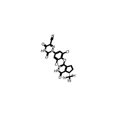 [2H]C([2H])([2H])[C@H]1CCc2c(Oc3c(Cl)cc(-n4nc(C#N)c(=O)[nH]c4=O)cc3Cl)n[nH]c(=O)c21